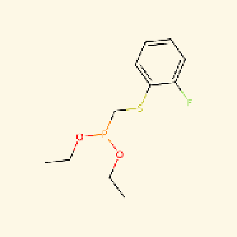 CCOP(CSc1ccccc1F)OCC